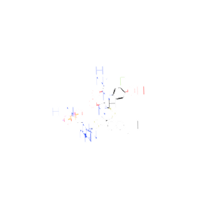 NCC(=O)N(c1ccc(O)c(F)c1)C1C(=O)N2CC(CSc3nnnn3CCS(N)(=O)=O)(C(=O)O)CS[C@H]12